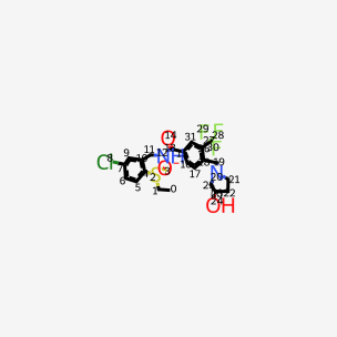 CC[S+]([O-])c1ccc(Cl)cc1CNC(=O)c1ccc(CN2CC[C@@H](O)C2)c(C(F)(F)F)c1